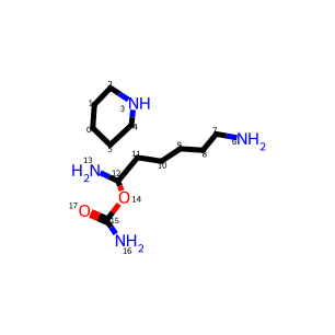 C1CCNCC1.NCCCCCC(N)OC(N)=O